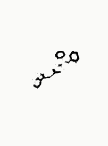 Fc1ccccc1CN(c1ccccc1)c1ncc(Cc2c[nH]c3ncccc23)cn1